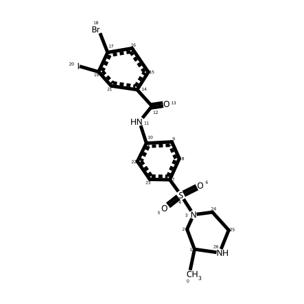 CC1CN(S(=O)(=O)c2ccc(NC(=O)c3ccc(Br)c(I)c3)cc2)CCN1